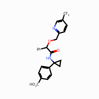 CC(C)C(OCc1ccc(C(F)(F)F)cn1)C(=O)NC1(c2ccc(C(=O)O)cc2)CC1